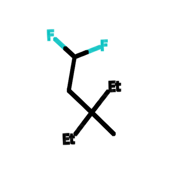 CCC(C)(CC)CC(F)F